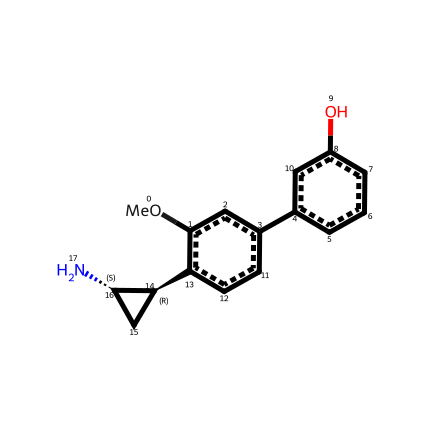 COc1cc(-c2cccc(O)c2)ccc1[C@H]1C[C@@H]1N